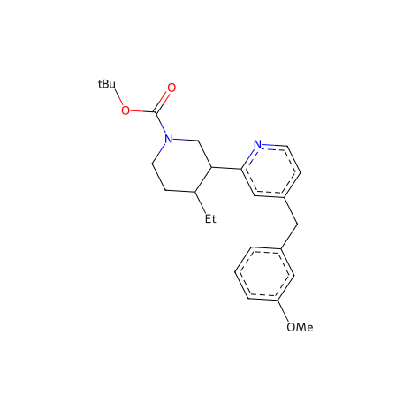 CCC1CCN(C(=O)OC(C)(C)C)CC1c1cc(Cc2cccc(OC)c2)ccn1